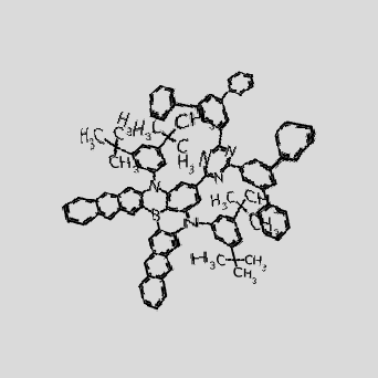 CC(C)(C)c1cc(N2c3cc4cc5ccccc5cc4cc3B3c4cc5cc6ccccc6cc5cc4N(c4cc(C(C)(C)C)cc(C(C)(C)C)c4)c4cc(-c5nc(-c6cc(-c7ccccc7)cc(-c7ccccc7)c6)nc(-c6cc(-c7ccccc7)cc(-c7ccccc7)c6)n5)cc2c43)cc(C(C)(C)C)c1